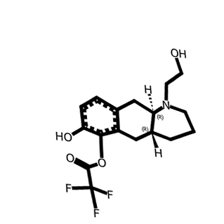 O=C(Oc1c(O)ccc2c1C[C@H]1CCCN(CCO)[C@@H]1C2)C(F)(F)F